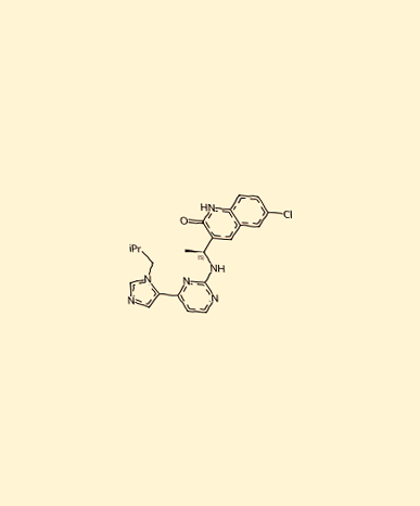 CC(C)Cn1cncc1-c1ccnc(N[C@@H](C)c2cc3cc(Cl)ccc3[nH]c2=O)n1